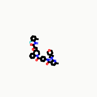 Cc1ccc(C(=O)Nc2ccc(C(=O)N3CCc4cc(C(=O)Nc5c(C)cccc5F)oc4-c4ccccc43)cc2)c(N2CC3(CCOCC3)C2)n1